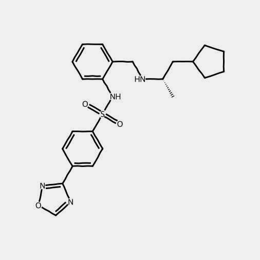 C[C@@H](CC1CCCC1)NCc1ccccc1NS(=O)(=O)c1ccc(-c2ncon2)cc1